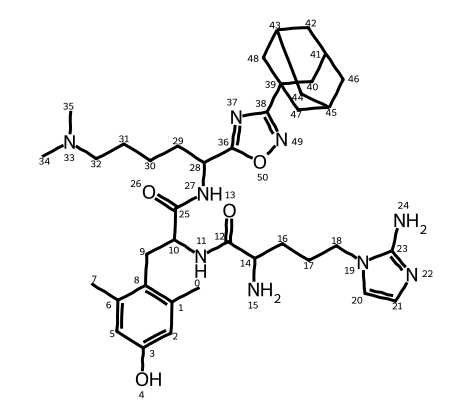 Cc1cc(O)cc(C)c1CC(NC(=O)C(N)CCCn1ccnc1N)C(=O)NC(CCCCN(C)C)c1nc(C23CC4CC(CC(C4)C2)C3)no1